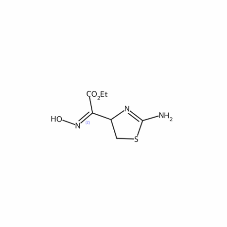 CCOC(=O)/C(=N\O)C1CSC(N)=N1